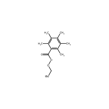 Cc1c(C)c(C)c(C(=O)OO[CH]C(C)(C)C)c(C)c1C